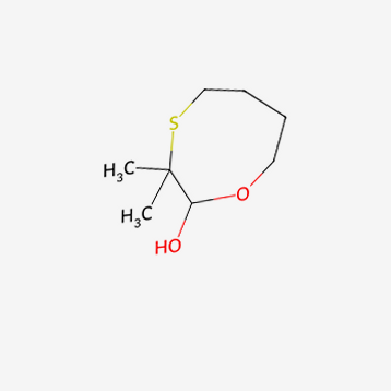 CC1(C)SCCCCOC1O